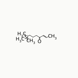 CC=CC(=O)CCC[Si](C)(C)C